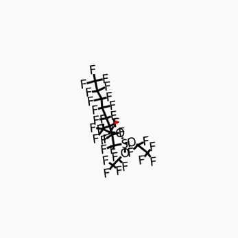 FC(F)(F)C(F)(F)O[Si](OC(F)(F)C(F)(F)F)(OC(F)(F)C(F)(F)F)C(F)(F)C(F)(F)C(F)(F)C(F)(F)C(F)(F)C(F)(F)C(F)(F)C(F)(F)F